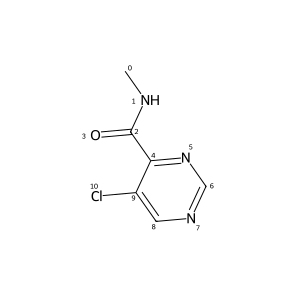 CNC(=O)c1ncncc1Cl